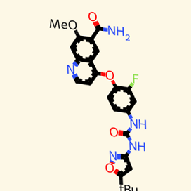 COc1cc2nccc(Oc3ccc(NC(=O)Nc4cc(C(C)(C)C)on4)cc3F)c2cc1C(N)=O